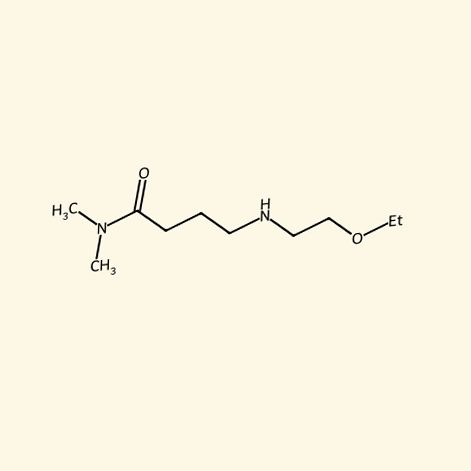 CCOCCNCCCC(=O)N(C)C